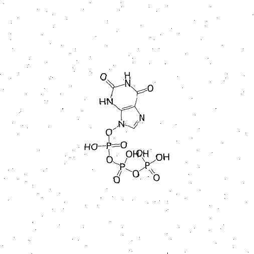 O=c1[nH]c(=O)c2ncn(OP(=O)(O)OP(=O)(O)OP(=O)(O)O)c2[nH]1